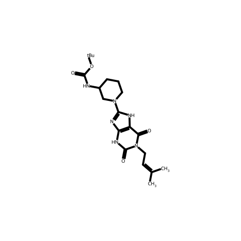 CC(C)=CCn1c(=O)[nH]c2nc(N3CCCC(NC(=O)OC(C)(C)C)C3)[nH]c2c1=O